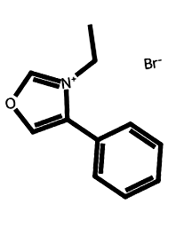 CC[n+]1cocc1-c1ccccc1.[Br-]